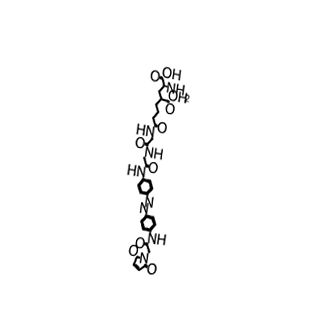 N[C@@H](CC(CCCC(=O)NCC(=O)NCC(=O)Nc1ccc(/N=N/c2ccc(NC(=O)CN3C(=O)C=CC3=O)cc2)cc1)C(=O)O)C(=O)O